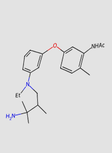 CCN(CC(C)C(C)(C)N)c1cccc(Oc2ccc(C)c(NC(C)=O)c2)c1